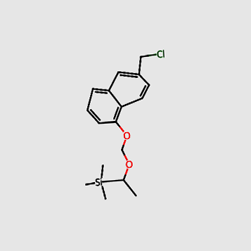 CC(OCOc1cccc2cc(CCl)ccc12)[Si](C)(C)C